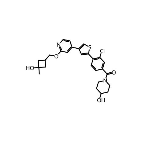 CC1(O)CC(COc2cc(-c3csc(-c4ccc(C(=O)N5CCC(O)CC5)cc4Cl)c3)ccn2)C1